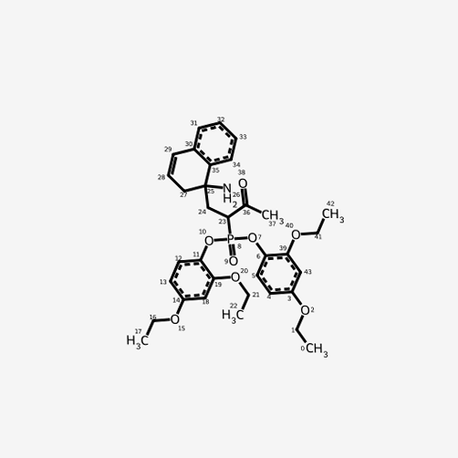 CCOc1ccc(OP(=O)(Oc2ccc(OCC)cc2OCC)C(CC2(N)CC=Cc3ccccc32)C(C)=O)c(OCC)c1